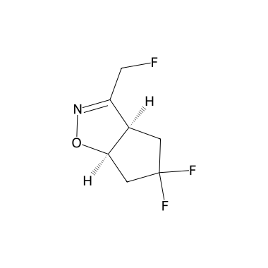 FCC1=NO[C@@H]2CC(F)(F)C[C@H]12